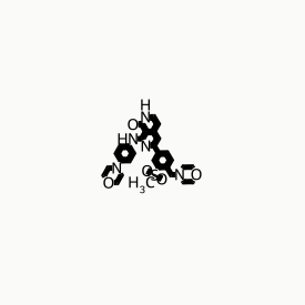 CS(=O)(=O)c1cc(-c2cc3cc[nH]c(=O)c3c(Nc3ccc(N4CCOCC4)cc3)n2)ccc1CN1CCOCC1